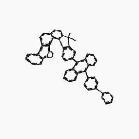 CC1(C)c2cc(-c3c4ccccc4c(-c4ccc(-c5ccccc5)cc4)c4ccccc34)ccc2-c2c1ccc1ccc3c4ccccc4oc3c21